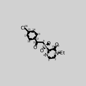 CCn1ccnc(S(=O)(=O)CC(=O)c2ccc(Cl)cc2)c1=O